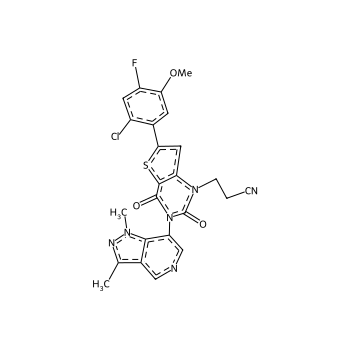 COc1cc(-c2cc3c(s2)c(=O)n(-c2cncc4c(C)nn(C)c24)c(=O)n3CCC#N)c(Cl)cc1F